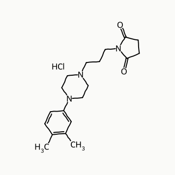 Cc1ccc(N2CCN(CCCN3C(=O)CCC3=O)CC2)cc1C.Cl